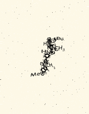 COc1ccc2c(ccn2C(=O)c2cc(-c3ccc(NC(=O)c4nc(NC(=O)OC(C)(C)C)cn4C)cc3)cn2C)c1